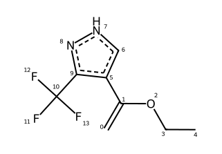 C=C(OCC)c1c[nH]nc1C(F)(F)F